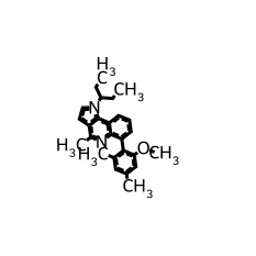 CCC(CC)n1ccc2c(C)nc3c(-c4c(C)cc(C)cc4OC)cccc3c21